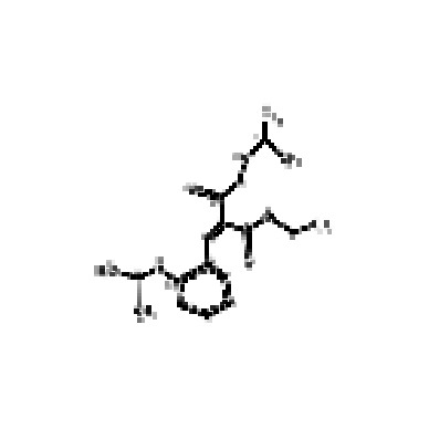 CCOC(=O)C(=Cc1ccccc1OC(C)C)C(=O)CSC(C)C